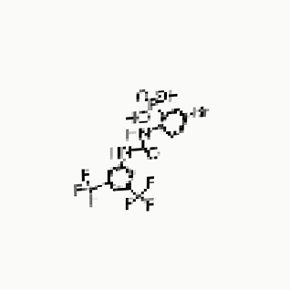 O=C(Nc1cc(C(F)(F)F)cc(C(F)(F)F)c1)Nc1ccc(Br)cc1P(=O)(O)O